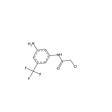 Nc1cc(NC(=O)CCl)cc(C(F)(F)F)c1